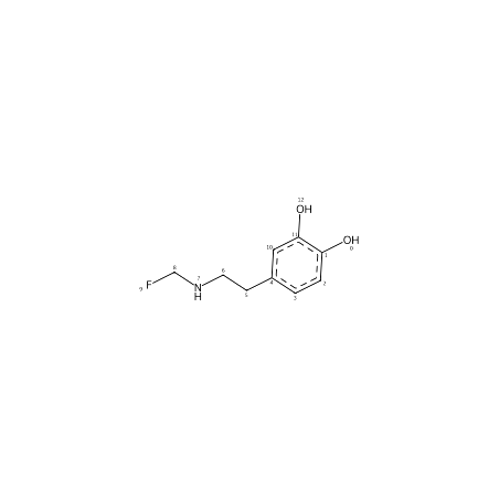 Oc1ccc(CCNCF)cc1O